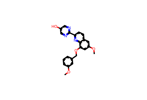 COc1cccc(COc2cc(OC)cc3ccc(-c4ncc(O)cn4)nc23)c1